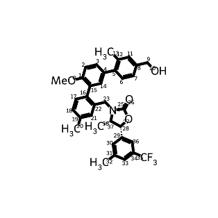 COc1ccc(-c2ccc(CO)cc2C)cc1-c1ccc(C)cc1CN1C(=O)O[C@H](c2cc(C)cc(C(F)(F)F)c2)[C@@H]1C